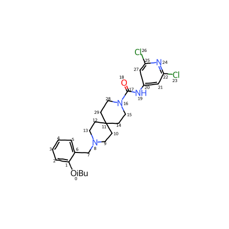 CC(C)COc1ccccc1CN1CCC2(CC1)CCN(C(=O)Nc1cc(Cl)nc(Cl)c1)CC2